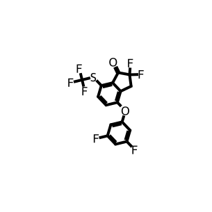 O=C1c2c(SC(F)(F)F)ccc(Oc3cc(F)cc(F)c3)c2CC1(F)F